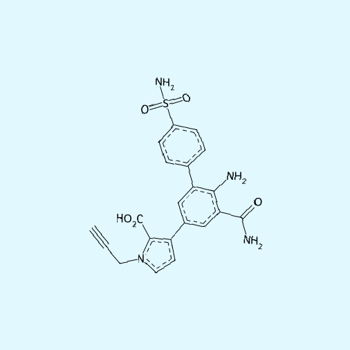 C#CCn1ccc(-c2cc(C(N)=O)c(N)c(-c3ccc(S(N)(=O)=O)cc3)c2)c1C(=O)O